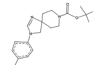 Cc1ccc(N2C=NC3(CCN(C(=O)OC(C)(C)C)CC3)C2)cc1